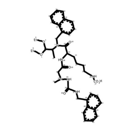 CCOC(OCC)C(C)N(Cc1cccc2ccccc12)C(=O)C(CCCCNC(=O)O)NC(=O)CN(C)NC(=O)NCc1cccc2ccccc12